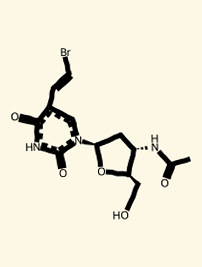 CC(=O)N[C@H]1C[C@H](n2cc(C=CBr)c(=O)[nH]c2=O)O[C@@H]1CO